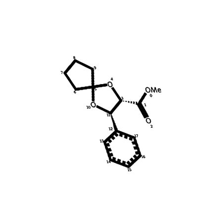 COC(=O)[C@H]1OC2(CCCC2)O[C@@H]1c1ccccc1